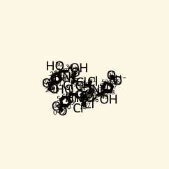 CS(=O)(=O)c1ccc([C@@H](O)[C@@H](CF)NC(=O)C(Cl)Cl)cc1.CS(=O)(=O)c1ccc([C@@H](O)[C@@H](CO)NC(=O)C(Cl)Cl)cc1.O=C(N[C@H](CO)[C@H](O)c1ccc([N+](=O)[O-])cc1)C(Cl)Cl